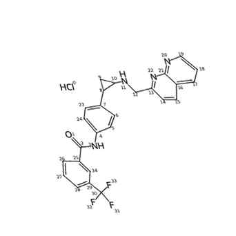 Cl.O=C(Nc1ccc(C2CC2NCc2ccc3cccnc3n2)cc1)c1cccc(C(F)(F)F)c1